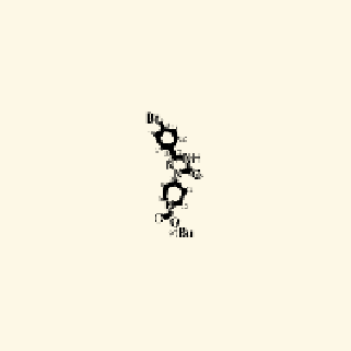 CC(C)(C)OC(=O)N1CCC(n2nc(-c3ccc(Br)cc3)[nH]c2=O)CC1